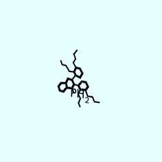 CCCCc1cccc(-c2cc3ccccc3c(P)c2-c2cccc(CCCC)c2CCCC)c1CCCC